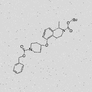 CC1c2cccc(OC3CCN(C(=O)OCc4ccccc4)CC3)c2CCN1C(=O)OC(C)(C)C